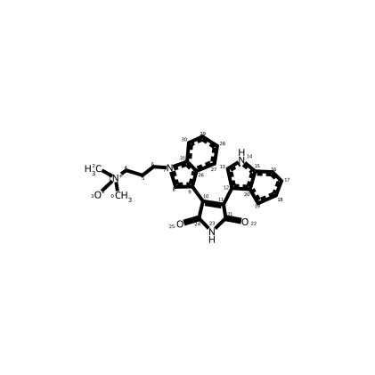 C[N+](C)([O-])CCCn1cc(C2=C(c3c[nH]c4ccccc34)C(=O)NC2=O)c2ccccc21